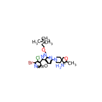 COc1cc(N2CCC3(CC2)CO[C@@H](C)[C@H]3N)nc2c1c(-c1ccnc(Br)c1Cl)nn2COCC[Si](C)(C)C